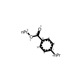 CCCOC(=O)c1ccc(CCC)cc1